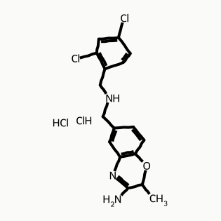 CC1Oc2ccc(CNCc3ccc(Cl)cc3Cl)cc2N=C1N.Cl.Cl